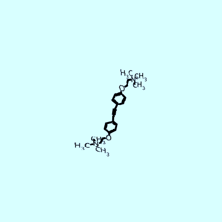 C[N+](C)(C)CCOc1ccc(C#Cc2ccc(OCC[N+](C)(C)C)cc2)cc1